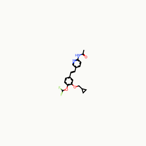 CC(=O)Nc1ccc(/C=C/c2ccc(OC(F)F)c(OCC3CC3)c2)cn1